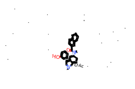 CC(=O)O[C@]12CC[C@@H](N(C)C(=O)c3ccc4ccccc4c3)C[C@]1(c1cccc(O)c1)CCN(C)C2